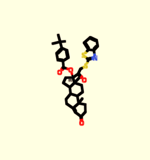 CC(C)(C)c1ccc(C(=O)O[C@]2(C(=O)CSc3nc4ccccc4s3)CCC3C4CCC5=CC(=O)CCC5(C)C4CCC32C)cc1